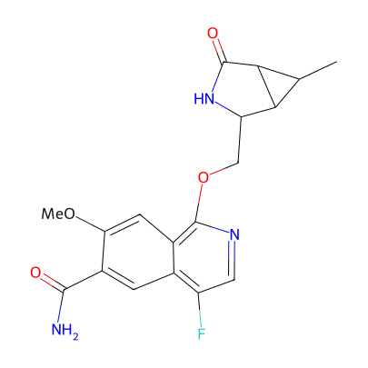 COc1cc2c(OCC3NC(=O)C4C(C)C34)ncc(F)c2cc1C(N)=O